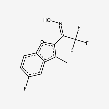 Cc1c(/C(=N\O)C(F)(F)F)oc2ccc(F)cc12